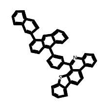 c1cc(-c2c3ccccc3cc3c(-c4ccc5ccccc5c4)cccc23)cc(-c2nc3ccccc3c3ccc4c5ccccc5sc4c23)c1